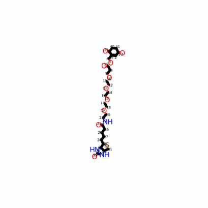 O=C1C=C(COC(=O)CCOCCOCCOCCOCCNC(=O)CCCCC2SCC3NC(=O)NC32)C(=O)CC1